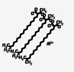 CC(=O)C(CCCCCCCCCCCCCCCC(C)C)C(=O)[O-].CC(=O)C(CCCCCCCCCCCCCCCC(C)C)C(=O)[O-].CC(=O)C(CCCCCCCCCCCCCCCC(C)C)C(=O)[O-].[Al+3]